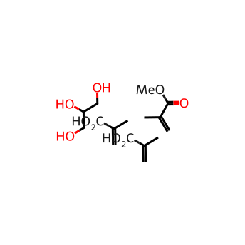 C=C(C)C(=O)O.C=C(C)C(=O)O.C=C(C)C(=O)OC.OCC(O)CO